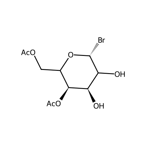 CC(=O)OCC1O[C@H](Br)C(O)[C@@H](O)[C@H]1OC(C)=O